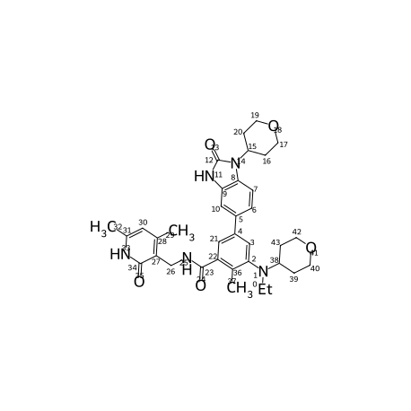 CCN(c1cc(-c2ccc3c(c2)[nH]c(=O)n3C2CCOCC2)cc(C(=O)NCc2c(C)cc(C)[nH]c2=O)c1C)C1CCOCC1